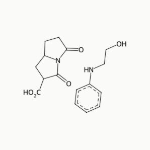 O=C(O)C1CC2CCC(=O)N2C1=O.OCCNc1ccccc1